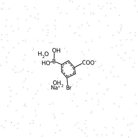 O.O.O=C([O-])c1cc(Br)cc(B(O)O)c1.[Na+]